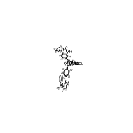 CC(O)N1CCN=C1c1ccc(-c2ccc(-c3ccc(C4=NCCN4C(C)O)cc3)o2)cc1.Cl.Cl.O.O